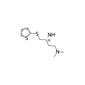 CN(C)CC[C@@H]([NH])CSc1cccs1